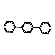 c1cc(-c2ccc(-c3ccncc3)cc2)ccn1